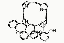 Oc1ccccc1C1=CC2=CC3=NC(=CC4=NC(=CC5=NC(=C(c6ccccc6O)C1=N2)C(c1ccccc1O)=C5c1ccccc1O)C=C4)C=C3